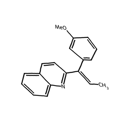 CC=C(c1cccc(OC)c1)c1ccc2ccccc2n1